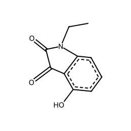 CCN1C(=O)C(=O)c2c(O)cccc21